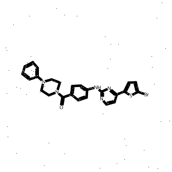 O=C(c1ccc(Nc2nccc(-c3ccc(Br)s3)n2)cc1)N1CCN(c2ccccc2)CC1